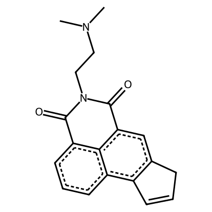 CN(C)CCN1C(=O)c2cccc3c4c(cc(c23)C1=O)CC=C4